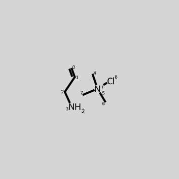 C=CCN.C[N+](C)(C)Cl